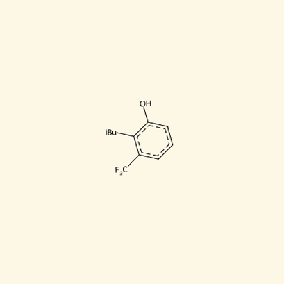 CCC(C)c1c(O)cccc1C(F)(F)F